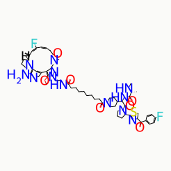 C=C1/C=C(F)\C=C/CC(=O)N(C)Cc2nn(CCNC(=O)CCCCCCCCC(=O)N3CCC([C@@H](NC(=O)[C@@H](C)NC)C(=O)N4CCC[C@@H]4C4=NC(C(=O)c5ccc(F)cc5)CS4)CC3)c(OC)c2-c2cnc(N)c(c2)N2CCC[C@H]12